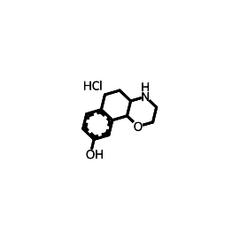 Cl.Oc1ccc2c(c1)C1OCCNC1CC2